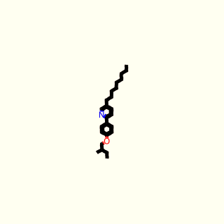 CCCCCCCCCc1ccc(-c2ccc(OCC(C)CC)cc2)nc1